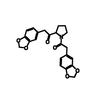 O=C(Cc1ccc2c(c1)OCO2)C1CCCN1C(=O)Cc1ccc2c(c1)OCO2